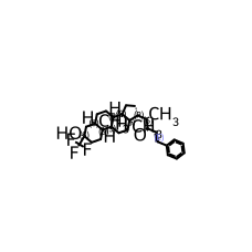 C[C@H](C(=O)/C=C/c1ccccc1)[C@H]1CC[C@H]2[C@@H]3CC[C@H]4C[C@](O)(C(F)(F)F)CC[C@]4(C)[C@H]3CC[C@]12C